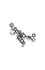 CC(C)c1ccccc1[C@@H]1CCCN1C1CC2(C1)CN(c1ccc(C(=O)NS(=O)(=O)c3cc4c(c([N+](=O)[O-])c3)N[C@H](CN3CCOCC3)CO4)c(N3c4cc5cc[nH]c5nc4O[C@H]4COC[C@@H]43)c1)C2